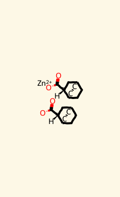 O=C([O-])[C@@H]1CC2CCC1CC2.O=C([O-])[C@@H]1CC2CCC1CC2.[Zn+2]